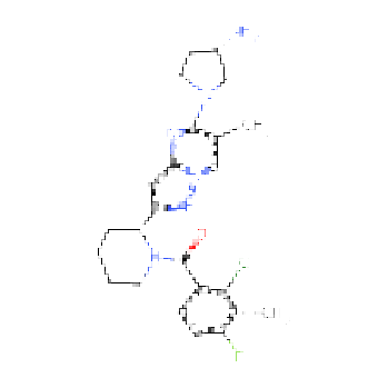 Cc1cn2nc([C@@H]3CCCCN3C(=O)c3ccc(F)c(C)c3Cl)cc2nc1N1CC[C@H](N)C1